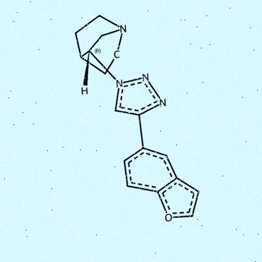 c1cc2cc(-c3cn([C@H]4CN5CCC4CC5)nn3)ccc2o1